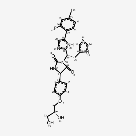 O=C1N[C@H](c2ccc(OC[C@H](O)CO)cc2)C(=O)N1[C@@H](Cc1cscn1)c1ncc(-c2ccc(I)cc2F)[nH]1